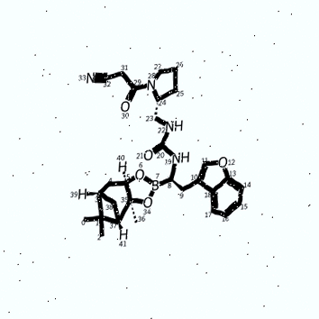 CC1(C)[C@@H]2C[C@H]3OB([C@H](Cc4coc5ccccc45)NC(=O)NC[C@H]4CCCN4C(=O)CC#N)O[C@@]3(C)[C@H]1C2